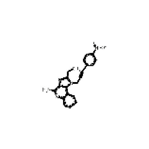 CCc1nc2c(N)nc3ccccc3c2n1CC#Cc1ccc([N+](=O)[O-])cc1